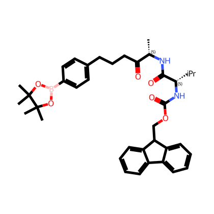 CC(C)[C@H](NC(=O)OCC1c2ccccc2-c2ccccc21)C(=O)N[C@@H](C)C(=O)CCCc1ccc(B2OC(C)(C)C(C)(C)O2)cc1